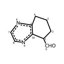 O=CC1CCCc2nccnc21